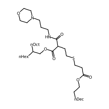 CCCCCCCCCCCCOC(=O)CCSCCC(C(=O)NCCCN1CCOCC1)C(=O)OCC(CCCCCC)CCCCCCCC